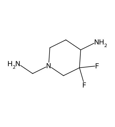 NCN1CCC(N)C(F)(F)C1